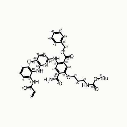 C=CC(=O)Nc1ccccc1Nc1nc(Nc2cc(C(N)=O)c(OCCCNC(=O)OC(C)(C)C)cc2C(=O)OCc2ccccc2)ncc1Cl